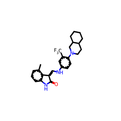 Cc1cccc2c1C(=CNc1ccc(N3CCC4CCCCC4C3)c(C(F)(F)F)c1)C(=O)N2